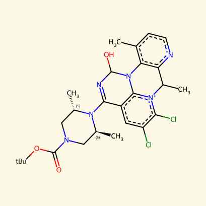 Cc1ccnc2c1N1c3c(cc(Cl)c(Cl)[n+]3C2C)C(N2[C@@H](C)CN(C(=O)OC(C)(C)C)C[C@@H]2C)=NC1O